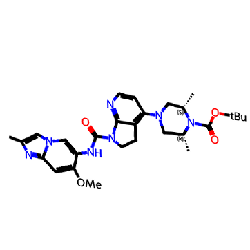 COc1cc2nc(C)cn2cc1NC(=O)N1CCc2c(N3C[C@@H](C)N(C(=O)OC(C)(C)C)[C@@H](C)C3)ccnc21